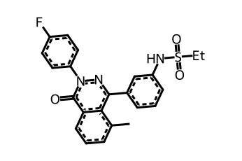 CCS(=O)(=O)Nc1cccc(-c2nn(-c3ccc(F)cc3)c(=O)c3cccc(C)c23)c1